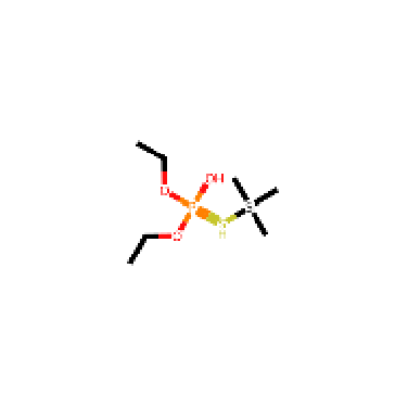 CCOP(O)(OCC)=[SH][Si](C)(C)C